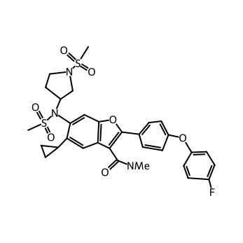 CNC(=O)c1c(-c2ccc(Oc3ccc(F)cc3)cc2)oc2cc(N(C3CCN(S(C)(=O)=O)C3)S(C)(=O)=O)c(C3CC3)cc12